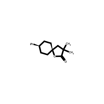 CC(C)[C@H]1CC[C@@]2(CC1)CC(C)(C)C(=O)O2